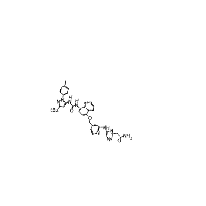 Cc1ccc(-n2nc(C(C)(C)C)cc2NC(=O)Nc2ccc(OCc3ccnc(Nc4cncc(CC(N)=O)n4)c3)c3ccccc23)cc1